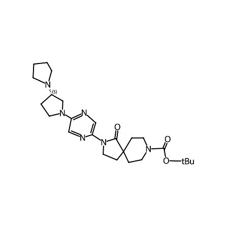 CC(C)(C)OC(=O)N1CCC2(CC1)CCN(c1cnc(N3CC[C@H](N4CCCC4)C3)cn1)C2=O